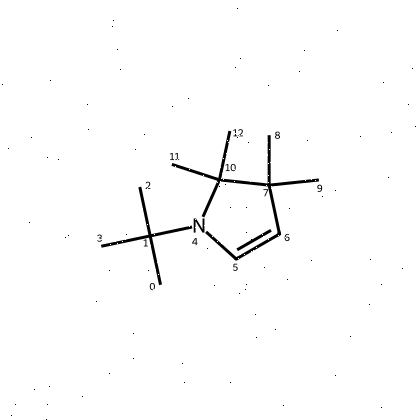 CC(C)(C)N1C=CC(C)(C)C1(C)C